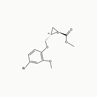 COC(=O)[C@@H]1C[C@H]1COc1ccc(Br)cc1OC